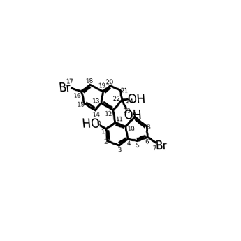 Oc1ccc2cc(Br)ccc2c1C1=c2ccc(Br)cc2=CCC1(O)O